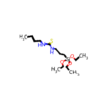 CCCCNC(=S)NCCC[Si](OCC)(OCC)OCC